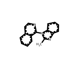 Cc1nc2ccccc2n1-c1nccc2ccccc12